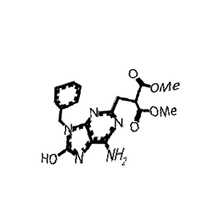 COC(=O)C(Cc1nc(N)c2nc(O)n(Cc3ccccc3)c2n1)C(=O)OC